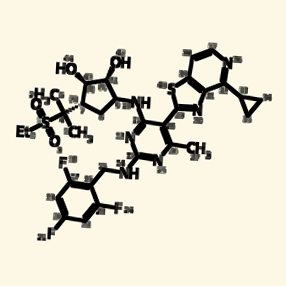 CCS(=O)(=O)C(C)(C)[C@H]1CC(Nc2nc(NCc3c(F)cc(F)cc3F)nc(C)c2-c2nc3c(C4CC4)nccc3s2)[C@H](O)[C@@H]1O